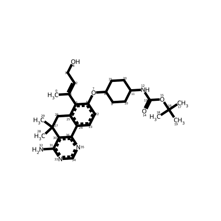 C/C(=C\CO)c1c(OC2CCC(NC(=O)OC(C)(C)C)CC2)ccc2c1CC(C)(C)c1c(N)ncnc1-2